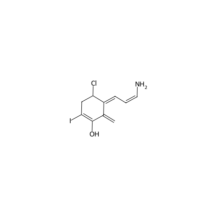 C=C1C(O)=C(I)CC(Cl)/C1=C/C=C\N